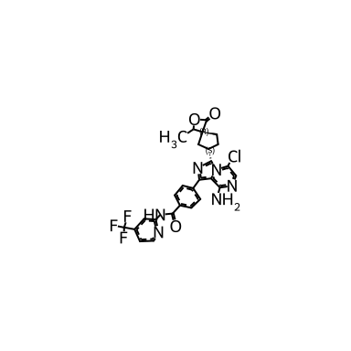 CC1OC(=O)[C@@]12CC[C@H](c1nc(-c3ccc(C(=O)Nc4cc(C(F)(F)F)ccn4)cc3)c3c(N)ncc(Cl)n13)C2